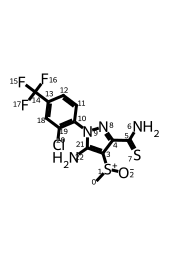 C[S+]([O-])c1c(C(N)=S)nn(-c2ccc(C(F)(F)F)cc2Cl)c1N